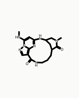 CNc1cc2nc3c(cnn13)C(=O)NCCCC1CC(CN(C)C1=O)N2